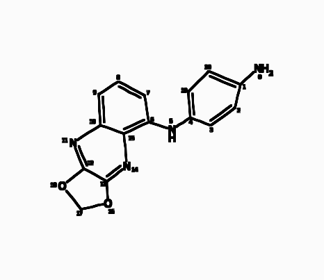 Nc1ccc(Nc2cccc3nc4c(nc23)OCO4)cc1